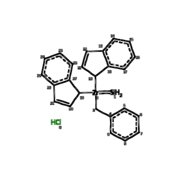 Cl.[SiH2]=[Zr]([CH2]c1ccccc1)([CH]1C=Cc2ccccc21)[CH]1C=Cc2ccccc21